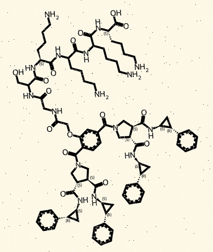 NCCCCC(NC(=O)C(CCCCN)NC(=O)[C@H](CCCCN)NC(=O)C(CO)NC(=O)CNC(=O)COc1cc(C(=O)N2C[C@@H](C(=O)N[C@H]3C[C@@H]3c3ccccc3)[C@H](C(=O)N[C@H]3C[C@@H]3c3ccccc3)C2)ccc1C(=O)N1C[C@@H](C(=O)N[C@H]2C[C@@H]2c2ccccc2)[C@H](C(=O)N[C@H]2C[C@@H]2c2ccccc2)C1)C(=O)N[C@@H](CCCCN)C(=O)O